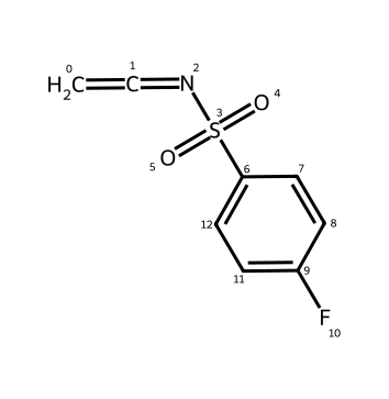 C=C=NS(=O)(=O)c1ccc(F)cc1